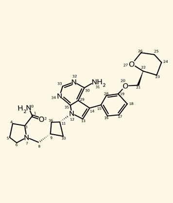 NC(=O)C1CCCN1C[C@H]1C[C@@H](n2cc(-c3cccc(OC[C@@H]4CCCCO4)c3)c3c(N)ncnc32)C1